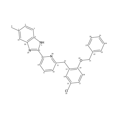 Cc1ccc2[nH]c(-c3cccc(Cc4cc(Cl)ccc4OCc4ccccc4)n3)nc2c1